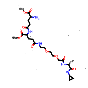 CCCC(NC(=O)COCCOCCNC(=O)CCC(NC(=O)CCC(N)C(=O)OC(C)(C)C)C(=O)OC(C)(C)C)C(=O)NC1CC1